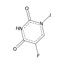 O=c1[nH]c(=O)n(I)cc1F